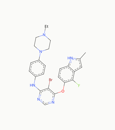 CCN1CCN(c2ccc(Nc3ncnc(Oc4ccc5[nH]c(C)cc5c4F)c3Br)cc2)CC1